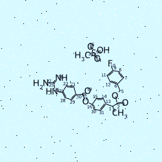 CC(C(=O)OCc1ccc(F)cc1)c1ccc(OC(=O)c2ccc(NC(=N)N)cc2)cc1.CS(=O)(=O)O